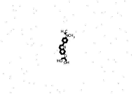 CCN(C)c1ccc(-c2ccc3ccc(OC(CO)CO)cc3n2)cc1